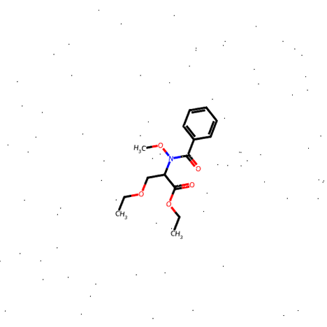 CCOCC(C(=O)OCC)N(OC)C(=O)c1ccccc1